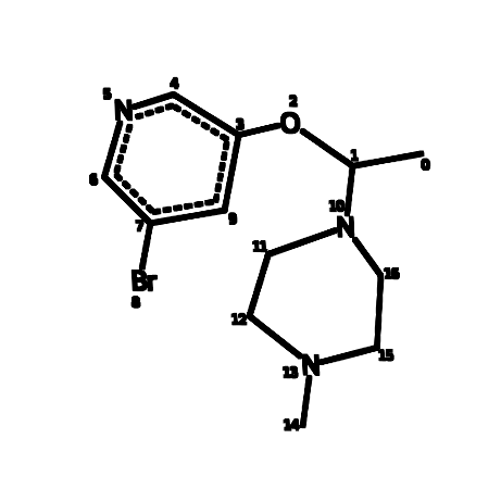 CC(Oc1cncc(Br)c1)N1CCN(C)CC1